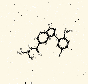 COc1ccc(F)cc1-c1csc2ccc(C(=O)N=C(N)N)cc12